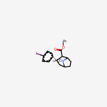 CC(C)OC(=O)C1C2CCC(C[C@@H]1c1ccc(I)cc1)N2C